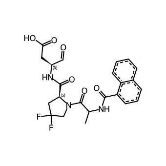 CC(NC(=O)c1cccc2ccccc12)C(=O)N1CC(F)(F)C[C@H]1C(=O)N[C@H](C=O)CC(=O)O